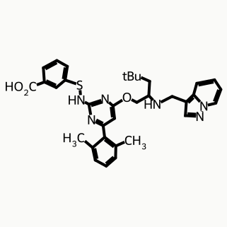 Cc1cccc(C)c1-c1cc(OCC(CC(C)(C)C)NCc2cnn3ccccc23)nc(NSc2cccc(C(=O)O)c2)n1